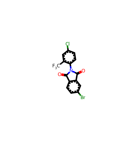 O=C1c2ccc(Br)cc2C(=O)N1c1ccc(Cl)cc1C(F)(F)F